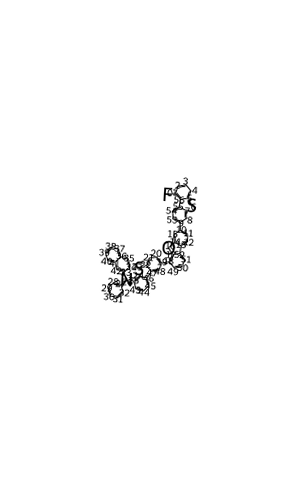 Fc1cccc2sc3cc(-c4ccc5c(c4)oc4c(-c6ccc7sc8c(N(c9ccccc9)c9ccc%10ccccc%10c9)cccc8c7c6)cccc45)ccc3c12